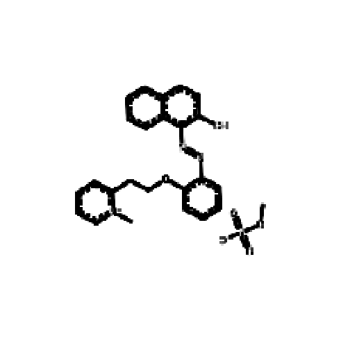 COS(=O)(=O)[O-].C[n+]1ccccc1CCOc1ccccc1N=Nc1c(O)ccc2ccccc12